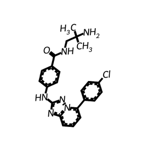 CC(C)(N)CNC(=O)c1ccc(Nc2nc3cccc(-c4ccc(Cl)cc4)n3n2)cc1